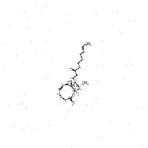 CCCCCCCC(=O)CC[C@@H]1[C@H]2C/C=C\CCCC(=O)O[C@H]2C[C@H]1C